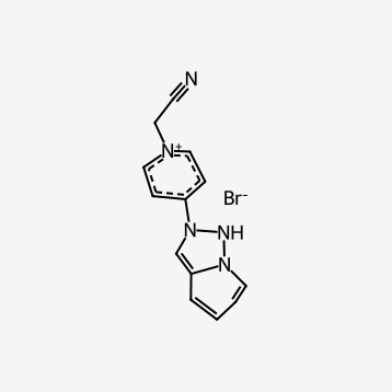 N#CC[n+]1ccc(N2C=C3C=CC=CN3N2)cc1.[Br-]